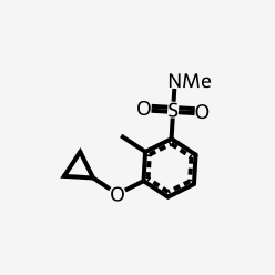 CNS(=O)(=O)c1cccc(OC2CC2)c1C